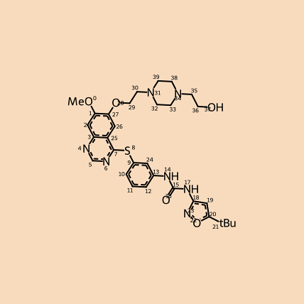 COc1cc2ncnc(Sc3cccc(NC(=O)Nc4cc(C(C)(C)C)on4)c3)c2cc1OCCN1CCN(CCO)CC1